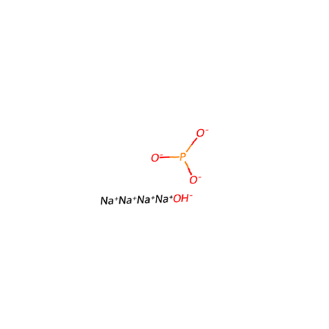 [Na+].[Na+].[Na+].[Na+].[O-]P([O-])[O-].[OH-]